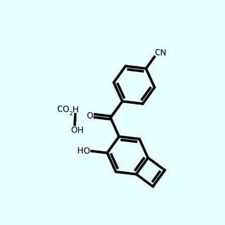 N#Cc1ccc(C(=O)c2cc3c(cc2O)C=C3)cc1.O=C(O)O